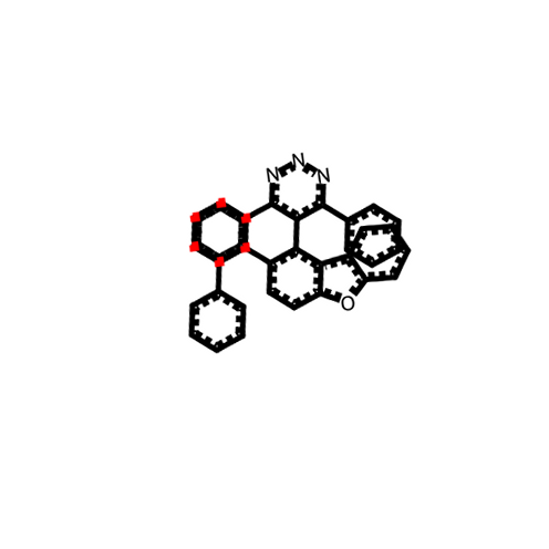 c1ccc(-c2ccccc2-c2ccc3oc4ccccc4c3c2-c2c(-c3ccccc3)nnnc2-c2ccccc2)cc1